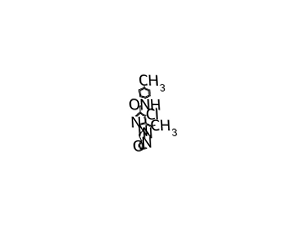 Cc1ccc(NC(=O)c2cnc3c(c(C)nn3Cc3ncco3)c2Cl)cc1